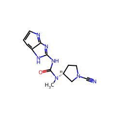 CN(C(=O)Nc1nc2ncccc2[nH]1)[C@@H]1CCN(C#N)C1